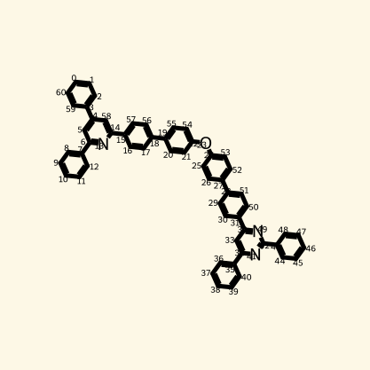 c1ccc(-c2cc(-c3ccccc3)nc(-c3ccc(-c4ccc(Oc5ccc(-c6ccc(-c7cc(-c8ccccc8)nc(-c8ccccc8)n7)cc6)cc5)cc4)cc3)c2)cc1